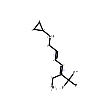 NC/C(=C\C=C\CNC1CC1)C(F)(F)F